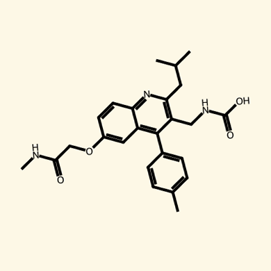 CNC(=O)COc1ccc2nc(CC(C)C)c(CNC(=O)O)c(-c3ccc(C)cc3)c2c1